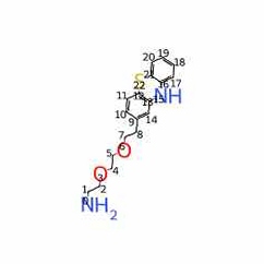 NCCOCCOCCc1ccc2c(c1)Nc1ccccc1S2